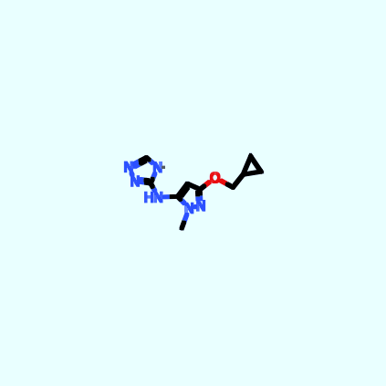 Cn1nc(OCC2CC2)cc1NC1=NN=C[N]1